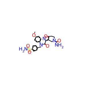 COc1ccc(N(Cc2ccc(S(N)(=O)=O)cc2)C(=O)c2noc3c2CN(C(N)=O)CC3)cc1